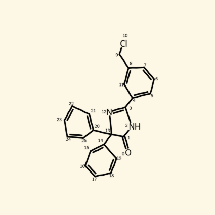 O=C1NC(c2cccc(CCl)c2)=NC1(c1ccccc1)c1ccccc1